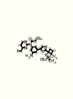 CC(C)(C)OC(=O)N(c1cc(N)cc(-c2cnc(C3(O[Si](C)(C)C(C)(C)C)CCC3)s2)c1)c1nccc(CF)n1